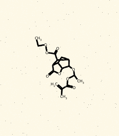 C=C(C)C(=O)OC(C)OC1C2CC3C1OC(=O)C3C2C(=O)OOCC